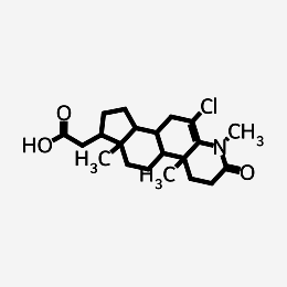 CN1C(=O)CCC2(C)C1=C(Cl)CC1C2CCC2(C)C(CC(=O)O)CCC12